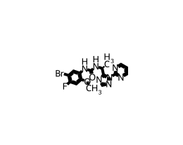 COc1cc(F)c(Br)cc1NC(=O)N[C@@H](C)c1ncnn1-c1ncccn1